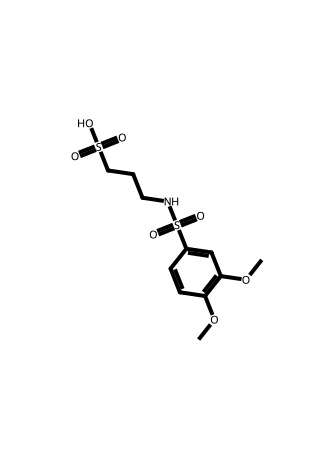 COc1ccc(S(=O)(=O)NCCCS(=O)(=O)O)cc1OC